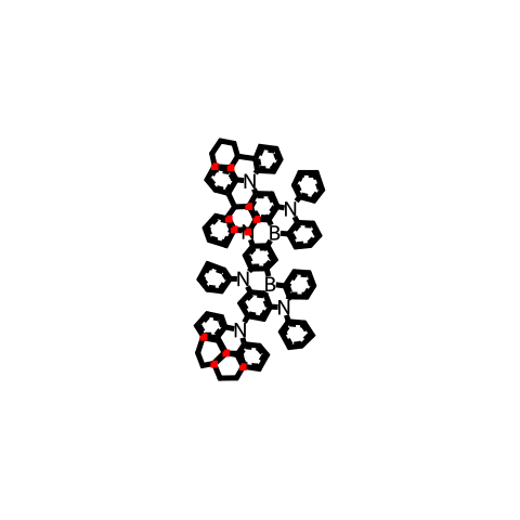 c1ccc(N2c3ccccc3B3c4cc5c(cc4N(c4ccccc4)c4cc(N(c6ccccc6C6CCCCC6)c6ccccc6C6CCCCC6)cc2c43)N(c2ccccc2)c2cc(N(c3ccccc3C3CCCCC3)c3ccccc3C3CCCCC3)cc3c2B5c2ccccc2N3c2ccccc2)cc1